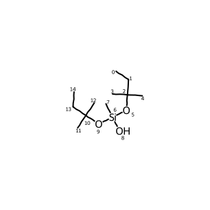 CCC(C)(C)O[Si](C)(O)OC(C)(C)CC